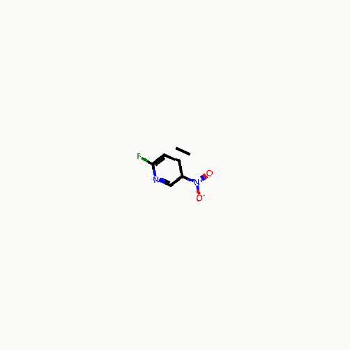 CC.O=[N+]([O-])[C]1C=NC(F)=CC1